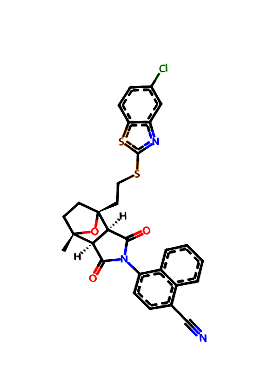 C[C@@]12CC[C@@](CCSc3nc4cc(Cl)ccc4s3)(O1)[C@H]1C(=O)N(c3ccc(C#N)c4ccccc34)C(=O)[C@H]12